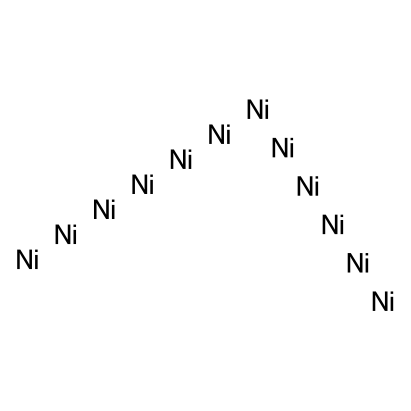 [Ni].[Ni].[Ni].[Ni].[Ni].[Ni].[Ni].[Ni].[Ni].[Ni].[Ni].[Ni]